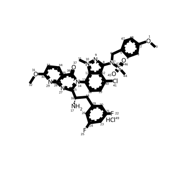 COc1ccc(CN(c2nn(C)c3c(-n4c([C@@H](N)Cc5cc(F)cc(F)c5)nc5nc(OC)ccc5c4=O)ccc(Cl)c23)S(C)(=O)=O)cc1.Cl